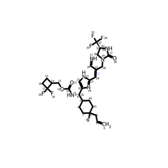 C=CCC1(F)CCC([C@H](NC(=O)OCC2CCC2(F)F)c2c[nH]c(/C=C(\C=N)CN3C[C@@H](C(F)(F)F)NC3=O)n2)CC1